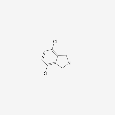 Clc1ccc(Cl)c2c1CNC2